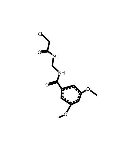 COc1cc(OC)cc(C(=O)N[CH2][Sn][C](=O)CCl)c1